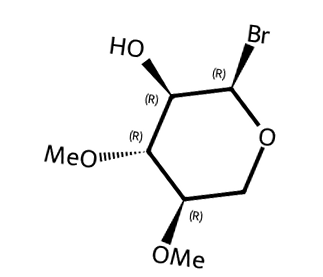 CO[C@@H]1[C@@H](O)[C@@H](Br)OC[C@H]1OC